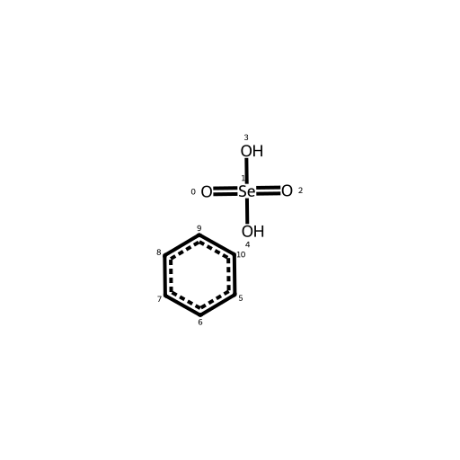 O=[Se](=O)(O)O.c1ccccc1